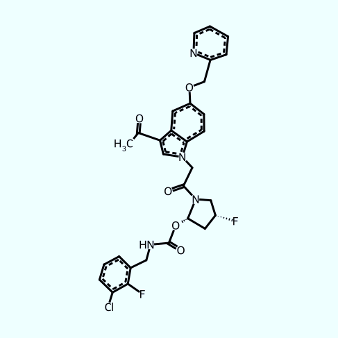 CC(=O)c1cn(CC(=O)N2C[C@H](F)C[C@@H]2OC(=O)NCc2cccc(Cl)c2F)c2ccc(OCc3ccccn3)cc12